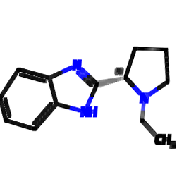 CCN1CCC[C@H]1c1nc2ccccc2[nH]1